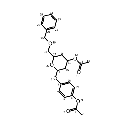 CC(=O)Oc1ccc(OC2CC(OC(C)=O)CC(COCc3ccccc3)O2)cc1